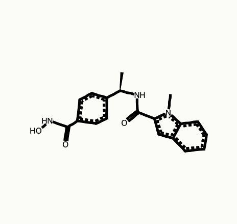 C[C@@H](NC(=O)c1cc2ccccc2n1C)c1ccc(C(=O)NO)cc1